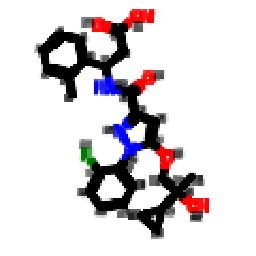 Cc1ccccc1C(CC(=O)O)NC(=O)c1cc(OC[C@](C)(O)C2CC2)n(-c2ccccc2F)n1